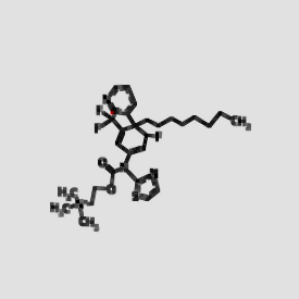 CCCCCCCCC1(c2cccnc2)C(C(F)(F)F)=CC(N(C(=O)OCC[N+](C)(C)C)c2nccs2)=CC1F